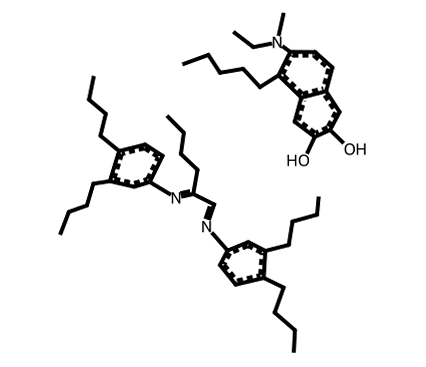 CCCCC(C=Nc1ccc(CCCC)c(CCCC)c1)=Nc1ccc(CCCC)c(CCCC)c1.CCCCCc1c(N(C)CC)ccc2cc(O)c(O)cc12